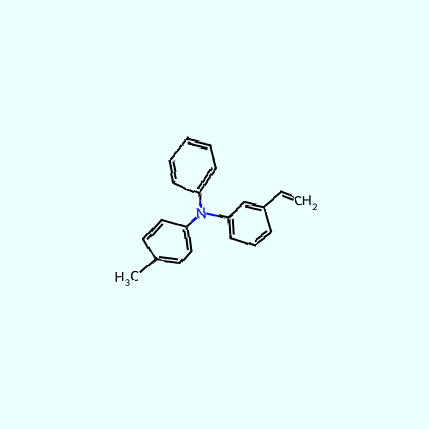 C=Cc1cccc(N(c2ccccc2)c2ccc(C)cc2)c1